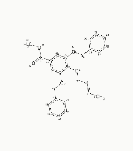 C/C=C/COc1c(OCc2ccccc2)cc(C(=O)OC)cc1OCc1ccccc1